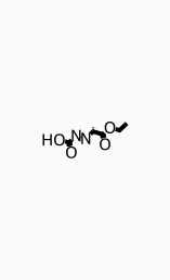 CCOC(=O)[CH]N=NC(=O)O